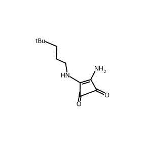 CC(C)(C)CCCNc1c(N)c(=O)c1=O